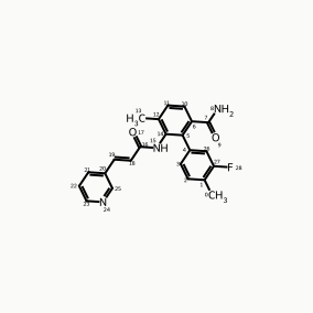 Cc1ccc(-c2c(C(N)=O)ccc(C)c2NC(=O)C=Cc2cccnc2)cc1F